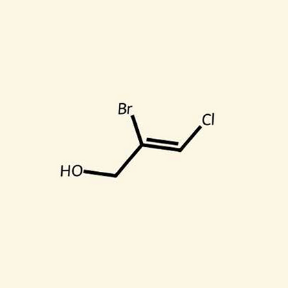 OCC(Br)=CCl